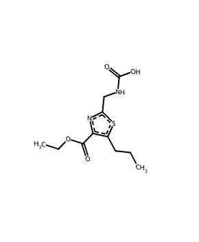 CCCc1sc(CNC(=O)O)nc1C(=O)OCC